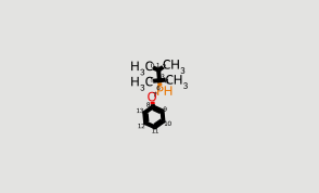 CC(C)C(C)(C)POc1ccccc1